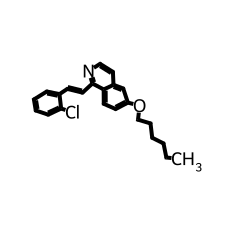 CCCCCCOc1ccc2c(C=Cc3ccccc3Cl)nccc2c1